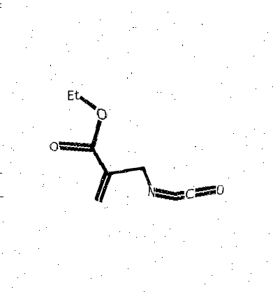 C=C(CN=C=O)C(=O)OCC